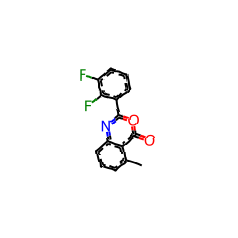 Cc1cccc2nc(-c3cccc(F)c3F)oc(=O)c12